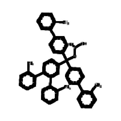 Cc1ccccc1-c1ccc(C(OB(O)O)(c2ccc(-c3ccccc3C)cc2)c2ccc(-c3ccccc3C)c(-c3ccccc3C)c2)cc1